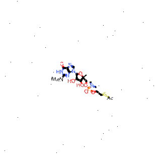 CNc1nc2c(ncn2[C@@H]2O[C@](C)(COP(=O)(OCCSC(C)=O)N(C)C)C(O)[C@@H]2O)c(=O)[nH]1